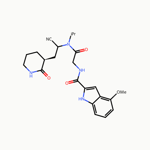 COc1cccc2[nH]c(C(=O)NCC(=O)N(C(C)C)C(C#N)C[C@@H]3CCCNC3=O)cc12